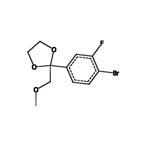 COCC1(c2ccc(Br)c(F)c2)OCCO1